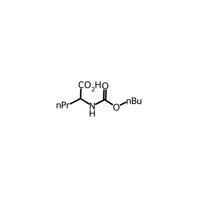 CCCCOC(=O)NC(CCC)C(=O)O